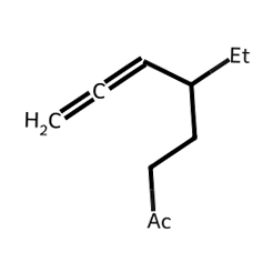 C=C=CC(CC)CCC(C)=O